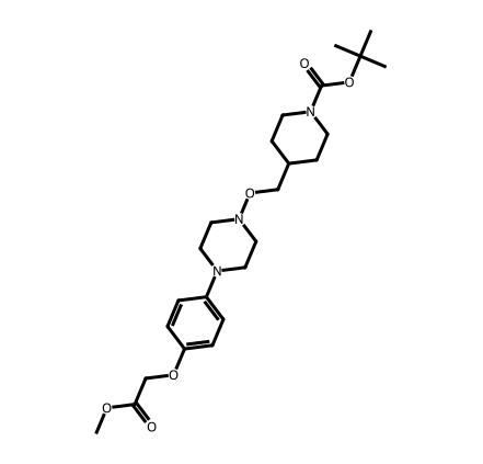 COC(=O)COc1ccc(N2CCN(OCC3CCN(C(=O)OC(C)(C)C)CC3)CC2)cc1